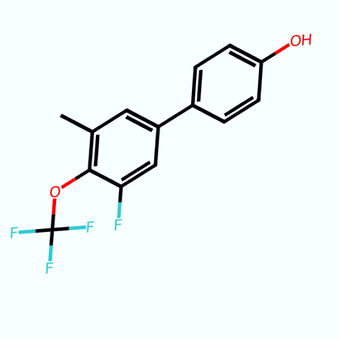 Cc1cc(-c2ccc(O)cc2)cc(F)c1OC(F)(F)F